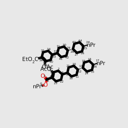 CCCOC(=O)C1=C(OC(C)=O)CC(C2CCC([C@H]3CC[C@H](CCC)CC3)CC2)CC1.CCC[C@H]1CC[C@H](C2CCC(C3CCC(C(=O)OCC)=C(OC(C)=O)C3)CC2)CC1